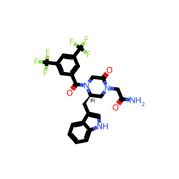 NC(=O)CN1C[C@@H](Cc2c[nH]c3ccccc23)N(C(=O)c2cc(C(F)(F)F)cc(C(F)(F)F)c2)CC1=O